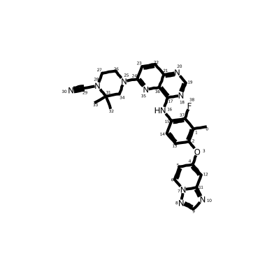 Cc1c(Oc2ccn3ncnc3c2)ccc(Nc2ncnc3ccc(N4CCN(C#N)C(C)(C)C4)nc23)c1F